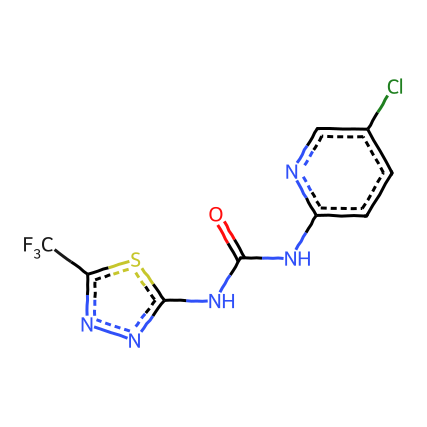 O=C(Nc1ccc(Cl)cn1)Nc1nnc(C(F)(F)F)s1